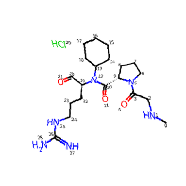 CNCC(=O)N1CCC[C@H]1C(=O)N(C1CCCCC1)[C@H](C=O)CCCNC(=N)N.Cl